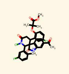 COC(=O)C(C)(C)Oc1ccc(Cl)cc1C1CC(=O)N(Cl)C(c2cc(F)ccc2C)C12C(=O)Nc1cc(C(C)=O)ccc12